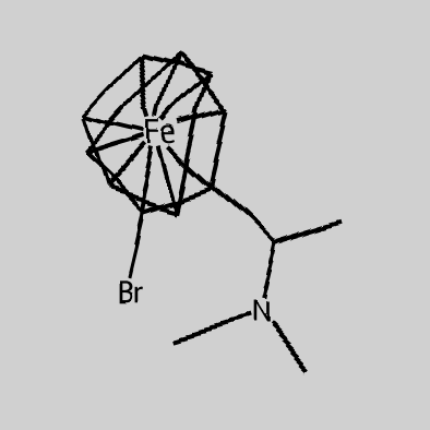 CC(N(C)C)[C]12[CH]3[CH]4[CH]5[C]1(Br)[Fe]45321678[CH]2[CH]1[CH]6[CH]7[CH]28